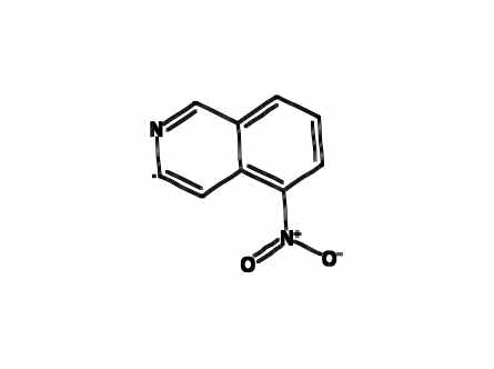 O=[N+]([O-])c1cccc2cn[c]cc12